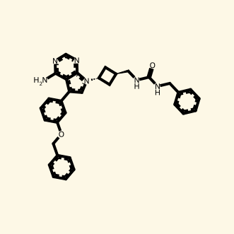 Nc1ncnc2c1c(-c1cccc(OCc3ccccc3)c1)cn2[C@H]1C[C@H](CNC(=O)NCc2ccccc2)C1